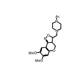 COc1cc2c(cc1OC)C1=NOC(CN3CCN(C(C)=O)CC3)C1CO2